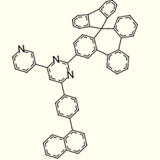 c1cncc(-c2cc(-c3ccc(-c4cccc5ccccc45)cc3)nc(-c3ccc4c(c3)-c3ccccc3-c3ccccc3C43c4ccccc4-c4ccccc43)n2)c1